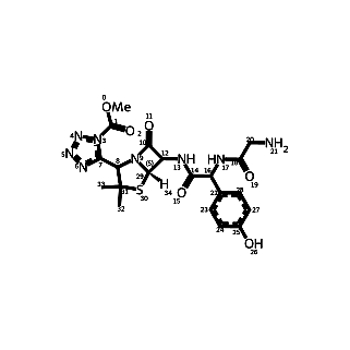 COC(=O)n1nnnc1C1N2C(=O)C(NC(=O)C(NC(=O)CN)c3ccc(O)cc3)[C@@H]2SC1(C)C